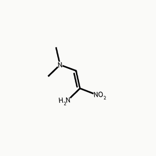 CN(C)C=C(N)[N+](=O)[O-]